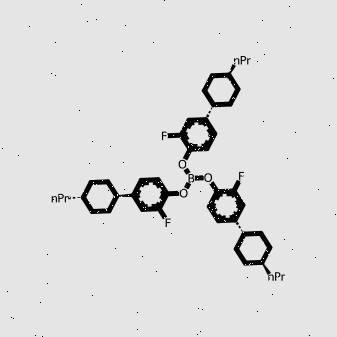 CCC[C@H]1CC[C@H](c2ccc(OB(Oc3ccc([C@H]4CC[C@H](CCC)CC4)cc3F)Oc3ccc([C@H]4CC[C@H](CCC)CC4)cc3F)c(F)c2)CC1